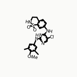 COc1c(C)cc(Nc2ncc(Cl)c(Nc3ccc4c(c3)S(=O)(=O)NCC4)n2)cc1C